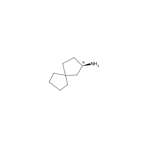 N[C@@H]1CCC2(CCCC2)C1